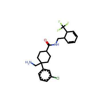 NCC1(c2cccc(Cl)c2)CCC(C(=O)NCC2C=CC=CC2C(F)(F)F)CC1